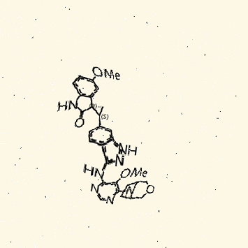 COc1ccc2c(c1)[C@]1(C[C@H]1c1ccc3c(Nc4ncnc(N5C6CCC5COC6)c4OC)n[nH]c3c1)C(=O)N2